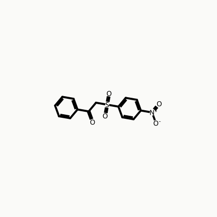 O=C(CS(=O)(=O)c1ccc([N+](=O)[O-])cc1)c1ccccc1